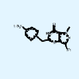 CCCc1nn(C)c2c(=O)[nH]c(Cc3ccc(C(=O)O)cc3)nc12